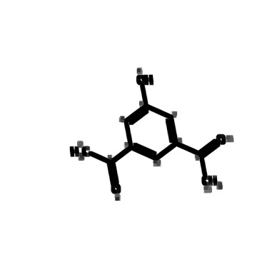 CC(=O)c1cc(O)cc(C(C)=O)c1